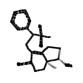 CC(=O)O[C@H]1CCC2=C(CC(c3ccccc3)S(C)(=O)=O)C(=O)CC[C@@]21C